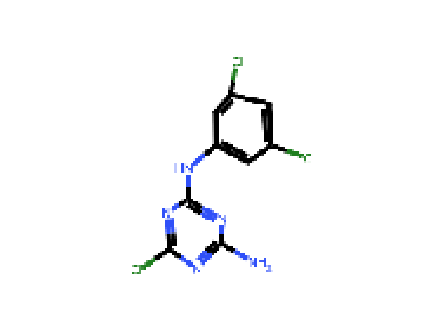 Nc1nc(Cl)nc(Nc2cc(Cl)cc(Cl)c2)n1